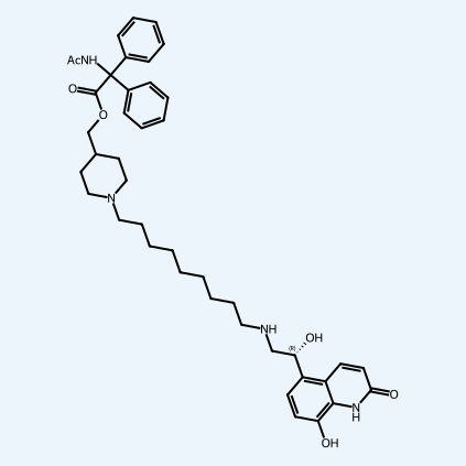 CC(=O)NC(C(=O)OCC1CCN(CCCCCCCCCNC[C@H](O)c2ccc(O)c3[nH]c(=O)ccc23)CC1)(c1ccccc1)c1ccccc1